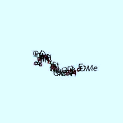 CC[C@]12C=Nc3cc(OCCCOc4cc5c(cc4OC)C(=O)N4C=C(c6ccc(OC)c(F)c6)C[C@H]4C=N5)c(OC)cc3C(=O)N1C=C(c1ccc(NC(=O)[C@H](C)NC(=O)[C@@H](NC(=O)OCC3c4ccccc4-c4ccccc43)C(C)C)cc1)C2